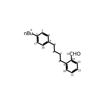 CCCCc1ccc(CCCCc2ccccc2C=O)cc1